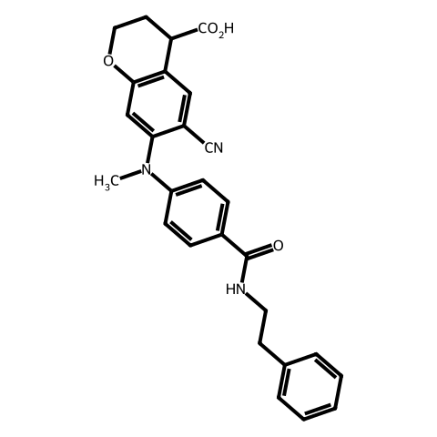 CN(c1ccc(C(=O)NCCc2ccccc2)cc1)c1cc2c(cc1C#N)C(C(=O)O)CCO2